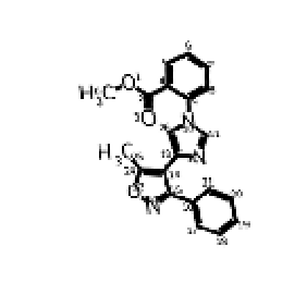 COC(=O)c1ccccc1-n1cnc(-c2c(-c3ccccc3)noc2C)c1